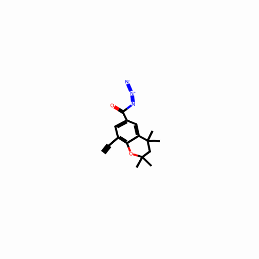 C#Cc1cc(C(=O)N=[N+]=[N-])cc2c1OC(C)(C)CC2(C)C